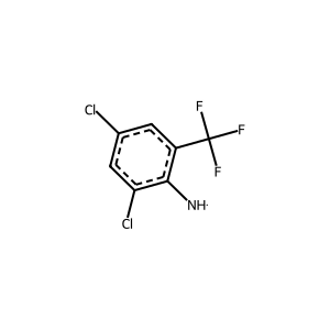 [NH]c1c(Cl)cc(Cl)cc1C(F)(F)F